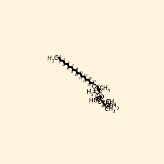 CCCCCCCCCCCCCCCCCCOCC(C)(C)COP(=O)(O)OCC[N+](C)(C)C